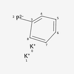 [K+].[K+].[P-2]c1ccccc1